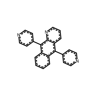 c1ccc2c(-c3ccncc3)c3ncccc3c(-c3ccncc3)c2c1